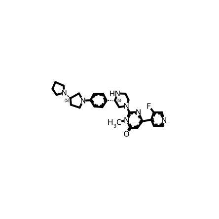 Cn1c(N2CCN[C@@H](c3ccc(N4CC[C@H](N5CCCC5)C4)cc3)C2)nc(-c2ccncc2F)cc1=O